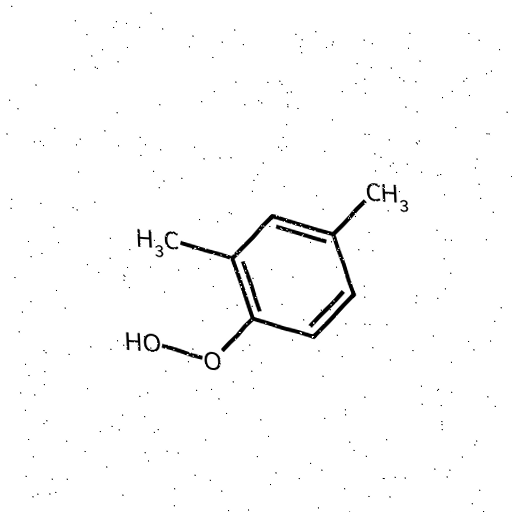 Cc1ccc(OO)c(C)c1